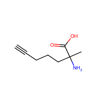 C#CCCCC(C)(N)C(=O)O